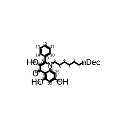 CCCCCCCCCCCCCCCCn1c(-c2ccccc2)c(O)c(=O)c2c(O)cc(O)cc21